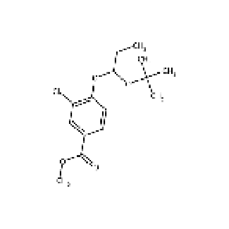 CCC(Oc1ccc(C(=O)OC)cc1Cl)OC(C)(C)C